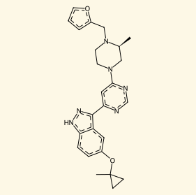 C[C@H]1CN(c2cc(-c3n[nH]c4ccc(OC5(C)CC5)cc34)ncn2)CCN1Cc1ccco1